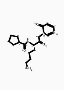 NCCCC[C@H](NC(=O)C1CCCC1)C(=O)Cn1cnccc1=O